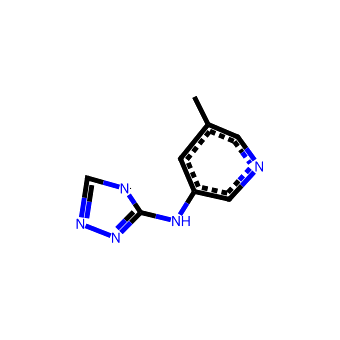 Cc1cncc(NC2=NN=C[N]2)c1